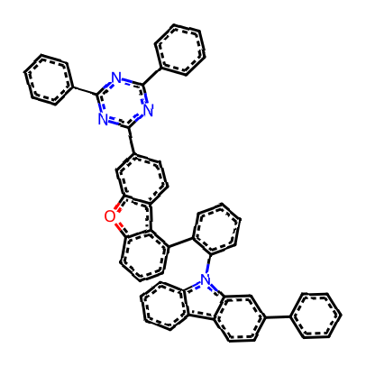 c1ccc(-c2ccc3c4ccccc4n(-c4ccccc4-c4cccc5oc6cc(-c7nc(-c8ccccc8)nc(-c8ccccc8)n7)ccc6c45)c3c2)cc1